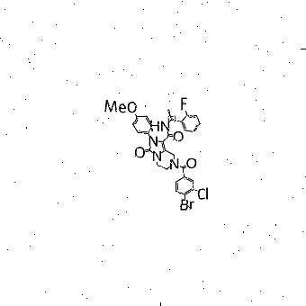 COc1ccc(-n2c(C(=O)N[C@@H](C)c3ccccc3F)c3n(c2=O)CCN(C(=O)c2ccc(Br)c(Cl)c2)C3)cc1